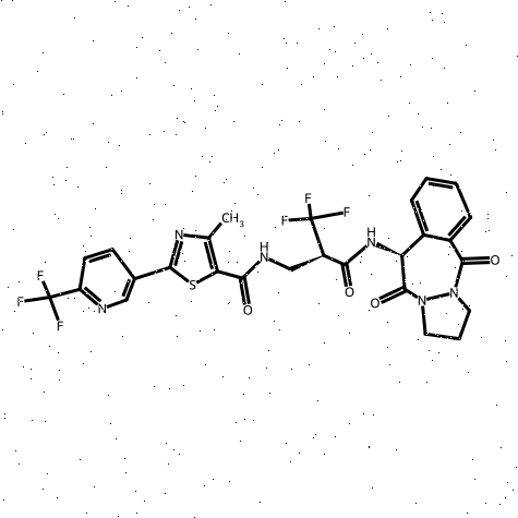 Cc1nc(-c2ccc(C(F)(F)F)nc2)sc1C(=O)NC[C@H](C(=O)N[C@@H]1C(=O)N2CCCN2C(=O)c2ccccc21)C(F)(F)F